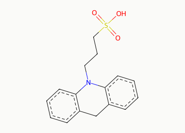 O=S(=O)(O)CCCN1c2ccccc2Cc2ccccc21